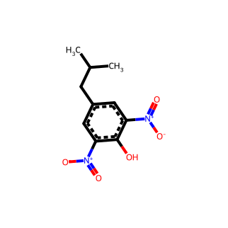 CC(C)Cc1cc([N+](=O)[O-])c(O)c([N+](=O)[O-])c1